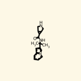 CC(C)(NC(=O)C1C2CNCC21)c1cc2ccccn2c1